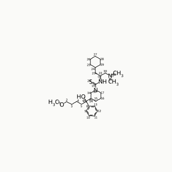 COCCCC[C@@](O)(c1ccccc1)[C@@H]1CCCN(C(=S)N[C@@H](CC2CCCCC2)CN(C)C)C1